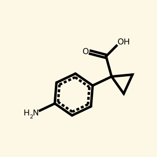 Nc1ccc(C2(C(=O)O)CC2)cc1